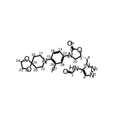 O=CNc1cnnn1C[C@@H]1CN(c2ccc(N3CCC4(CC3)OCCO4)c(F)c2)C(=O)O1